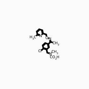 CC(=NOCc1cccc(C)n1)c1ccc(Cl)c(CN(C)C(=O)O)c1